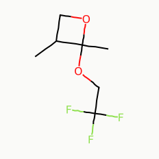 CC1COC1(C)OCC(F)(F)F